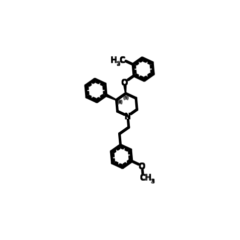 COc1cccc(CCN2CC[C@H](Oc3ccccc3C)[C@H](c3ccccc3)C2)c1